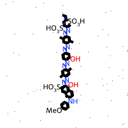 C=C(N=Nc1cc(C)c(N=Nc2ccc(N=Nc3cc(C)c(/N=N/c4c(S(=O)(=O)O)cc5cc(Nc6ccc(OC)cc6)ccc5c4O)cc3C)c(O)c2)cc1C)/C(=C\C(=C/C)S(=O)(=O)O)S(=O)(=O)O